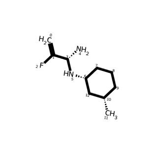 C=C(F)[C@H](N)N[C@@H]1CCC[C@H](C)C1